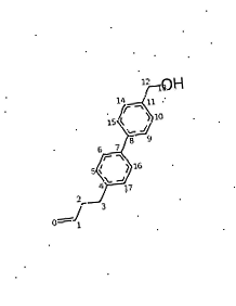 C=CCCc1ccc(-c2ccc(CO)cc2)cc1